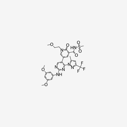 COCCn1cc(-c2cnc(Nc3cc(OC)cc(OC)c3)nc2-n2nc(C(F)(F)F)cc2C)cc(C(=O)NS(C)(=O)=O)c1=O